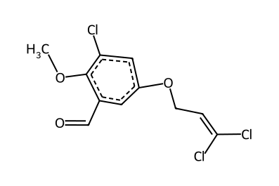 COc1c(Cl)cc(OCC=C(Cl)Cl)cc1C=O